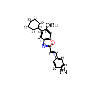 CC(C)COc1cc2oc(/C=C/c3ccc(C#N)cc3)nc2cc1C1CCCCC1